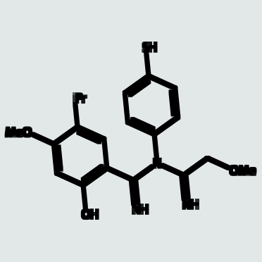 COCC(=N)N(C(=N)c1cc(C(C)C)c(OC)cc1O)c1ccc(S)cc1